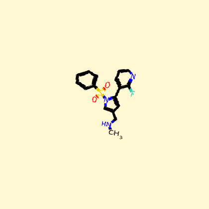 CNCc1cc(-c2cccnc2F)n(S(=O)(=O)c2ccccc2)c1